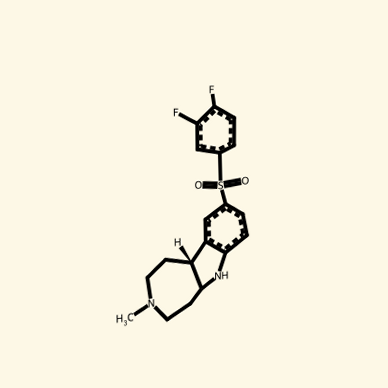 CN1CCC2Nc3ccc(S(=O)(=O)c4ccc(F)c(F)c4)cc3[C@H]2CC1